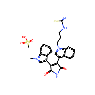 CS(=O)(=O)O.Cn1cc(C2=C(c3cn(CCCNC(=N)S)c4ccccc34)C(=O)NC2=O)c2ccccc21